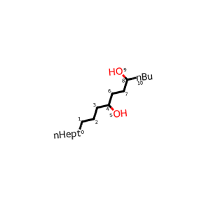 CCCCCCCCCCC(O)CCC(O)CCCC